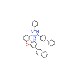 c1ccc(C2=NC(c3cccc4oc5cc(-c6ccc7ccccc7c6)ccc5c34)NC(c3ccc(-c4ccccc4)cc3)=N2)cc1